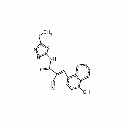 CCc1nnc(NC(=O)/C(C#N)=C/c2ccc(O)c3ccccc23)s1